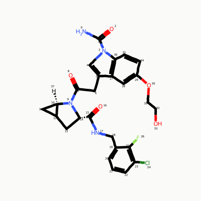 NC(=O)n1cc(CC(=O)N2[C@@H]3CC3C[C@H]2C(=O)NCc2cccc(Cl)c2F)c2cc(OCCO)ccc21